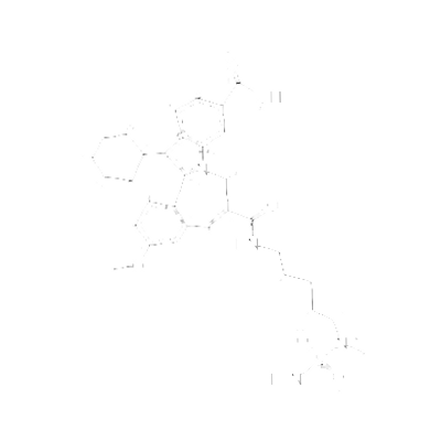 COc1ccc2c(c1)C=C(C(=O)NCCCCCN(C)S(N)(=O)=O)Cn1c-2c(C2CCCCC2)c2ccc(C(=O)O)cc21